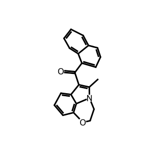 Cc1c(C(=O)c2cccc3ccccc23)c2cccc3c2n1CCO3